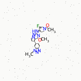 CCn1nnc2ccc(-c3ccn4nc(N[C@H]5CCN(C(C)=O)C[C@H]5F)nc(OC)c34)cc21